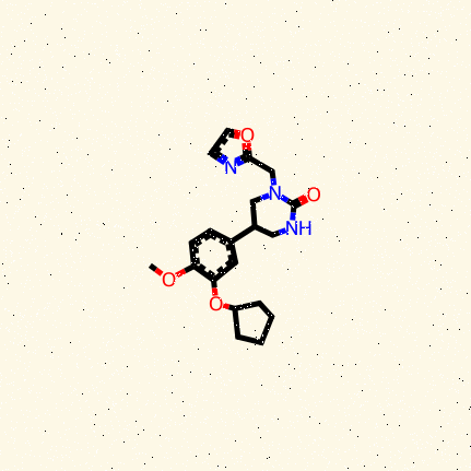 COc1ccc(C2CNC(=O)N(Cc3ncco3)C2)cc1OC1CCCC1